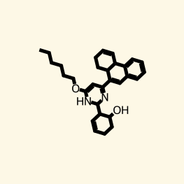 CCCCCCOC1=CC(C2=Cc3ccccc3C3C=CCCC23)=NC(C2C=CCCC2O)N1